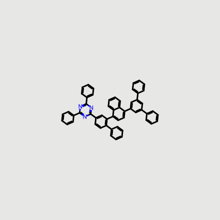 c1ccc(-c2cc(-c3ccccc3)cc(-c3ccc(-c4cc(-c5nc(-c6ccccc6)nc(-c6ccccc6)n5)ccc4-c4ccccc4)c4ccccc34)c2)cc1